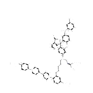 N#C/C(=C/CN(CCCCCc1cc(C(=O)O)ccc1-[n+]1ccc(-c2cc[n+](-c3ccc(C(=O)O)cc3)cc2)cc1)c1ccc2c(c1)Oc1ccc(Nc3cccc(C(F)(F)F)c3)cc1C21OC(=O)c2ccccc21)C(=O)O